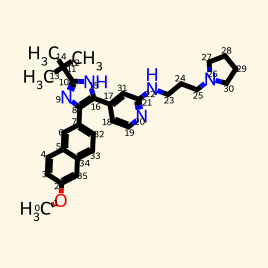 COc1ccc2cc(-c3nc(C(C)(C)C)[nH]c3-c3ccnc(NCCCN4CCCC4)c3)ccc2c1